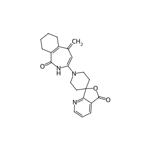 C=C1C=C(N2CCC3(CC2)OC(=O)c2cccnc23)NC(=O)C2=C1CCCC2